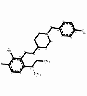 CNC[C@H](OC)c1ccc(C)c(O)c1CCC1CCN(Cc2ccc(C(F)(F)F)cc2)CC1